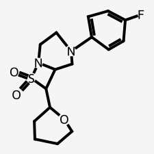 O=S1(=O)C(C2CCCCO2)C2CN(c3ccc(F)cc3)CCN21